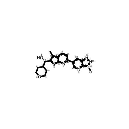 Cc1c([C@@H](O)C2CCOCC2)sc2nc(-c3cnc4c(c3)nnn4C)ccc12